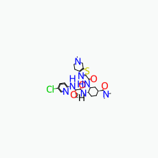 [2H]N(C(=O)C(=O)Nc1ccc(Cl)cn1)[C@H]1CC[C@H](C(=O)N(C)C)C[C@H]1NC(=O)c1nc2c(s1)CN(C)CC2